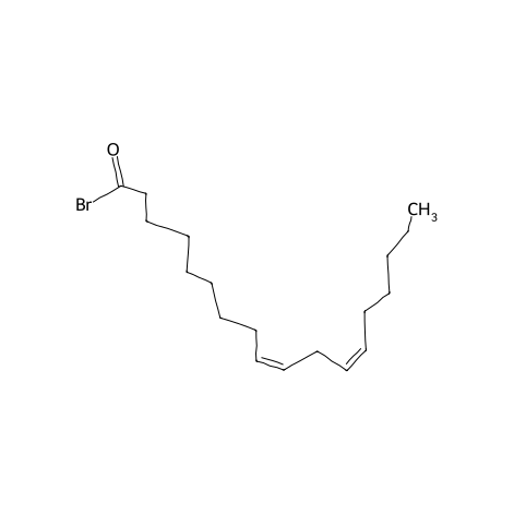 CCCCC/C=C\C/C=C\CCCCCCCC(=O)Br